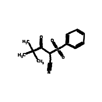 CC(C)(C)C(=O)C(C#N)S(=O)(=O)c1ccccc1